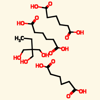 CCC(CO)(CO)CO.O=C(O)CCCCC(=O)O.O=C(O)CCCCC(=O)O.O=C(O)CCCCC(=O)O